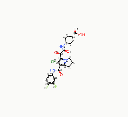 O=C(N[C@H]1CC[C@@H](C(=O)O)CC1)C(=O)c1c(Cl)c(C(=O)Nc2ccc(F)c(F)c2)c2n1CCC2